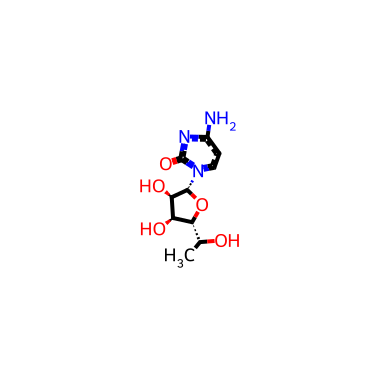 CC(O)[C@H]1O[C@@H](n2ccc(N)nc2=O)[C@H](O)[C@@H]1O